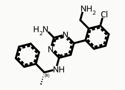 C[C@@H](Nc1cc(-c2cccc(Cl)c2CN)nc(N)n1)c1ccccc1